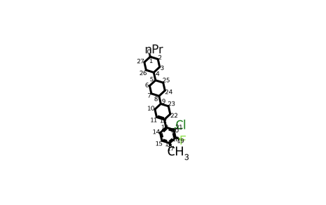 CCCC1CCC(C2CCC(C3CC=C(c4ccc(C)c(F)c4Cl)CC3)CC2)CC1